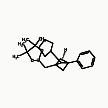 CC1(C)OB(CC23CC(c4ccccc4)(C2)[C@@H]3C2CCCC2)OC1(C)C